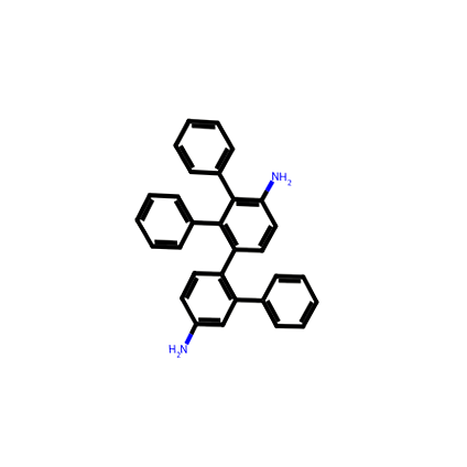 Nc1ccc(-c2ccc(N)c(-c3ccccc3)c2-c2ccccc2)c(-c2ccccc2)c1